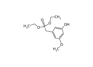 CCOP(=O)(Cc1cc(O)cc(OC)c1)OCC